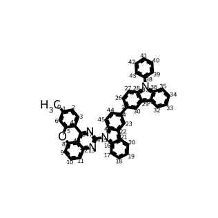 Cc1ccc2c(c1)Oc1cccc3nc(-n4c5ccccc5c5cc(-c6ccc7c(c6)c6ccccc6n7-c6ccccc6)ccc54)nc-2c13